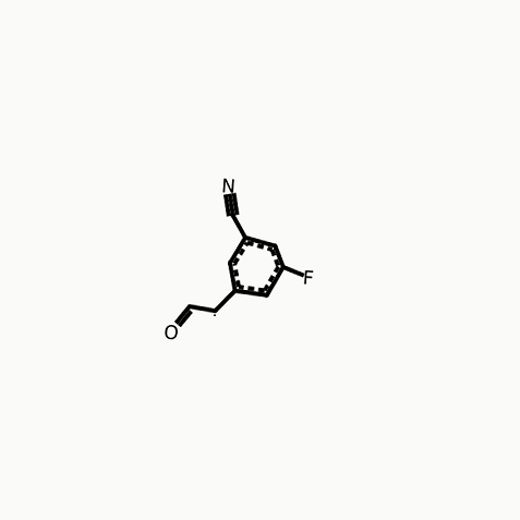 N#Cc1cc(F)cc([CH]C=O)c1